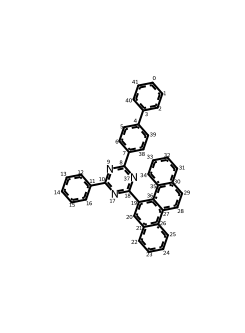 c1ccc(-c2ccc(-c3nc(-c4ccccc4)nc(-c4cc5ccccc5c5ccc6ccccc6c45)n3)cc2)cc1